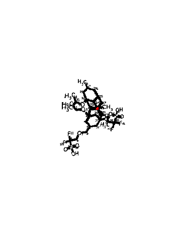 CCOC12CC(COCC(F)(F)S(=O)(=O)O)CC(OC)(C1)CC(C)(C1C3CC(C)CC1(OC(C)C)CC(COCC(F)(F)S(=O)(=O)O)C3)C2